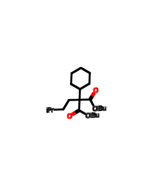 CC(C)CCC(C(=O)OCC(C)C)(C(=O)OCC(C)C)C1CCCCC1